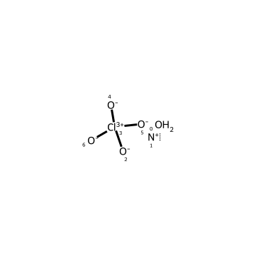 O.[N+].[O-][Cl+3]([O-])([O-])[O-]